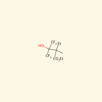 CCOC(=O)C(C)(CC)C(O)(C(F)(F)F)C(F)(F)F